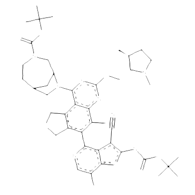 CN1CC[C@H](F)[C@H]1COc1nc(N2CC3CCN(C(=O)OC(C)(C)C)CC2C3)c2c3c(c(-c4ncc(F)c5sc(NC(=O)OC(C)(C)C)c(C#N)c45)c(F)c2n1)COC3